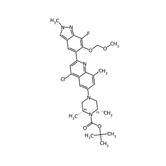 COCOc1c(-c2cc(Cl)c3cc(N4C[C@@H](C)N(C(=O)OC(C)(C)C)[C@@H](C)C4)cc(C)c3n2)cc2cn(C)nc2c1F